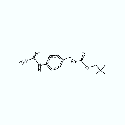 CC(C)(C)COC(=O)NCc1ccc(NC(=N)N)cc1